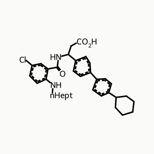 CCCCCCCNc1ccc(Cl)cc1C(=O)NC(CC(=O)O)c1ccc(-c2ccc(C3CCCCC3)cc2)cc1